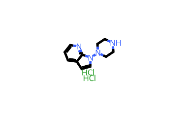 Cl.Cl.c1cnc2c(c1)ccn2N1CCNCC1